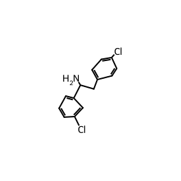 NC(Cc1ccc(Cl)cc1)c1cccc(Cl)c1